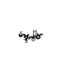 C=c1/c(=C/c2cccs2)sc(=S)n1CCC(=O)Nc1cccc(CC)c1C